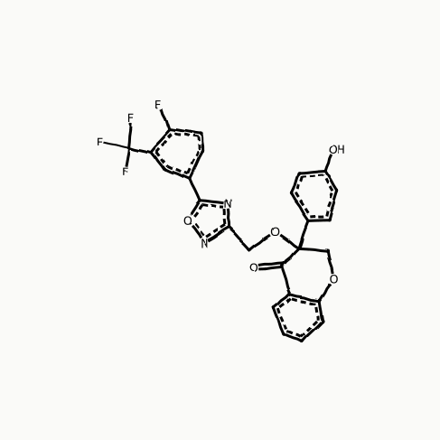 O=C1c2ccccc2OCC1(OCc1noc(-c2ccc(F)c(C(F)(F)F)c2)n1)c1ccc(O)cc1